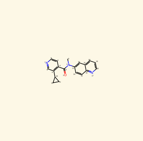 CN(C(=O)c1ccncc1C1CC1)c1ccc2ncccc2c1